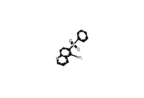 O=[N+]([O-])c1c(S(=O)(=O)c2ccccc2)ccc2ncccc12